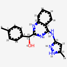 Cc1ccc([C@H](O)c2nc(Nc3cc(C)[nH]n3)c3ccccc3n2)cc1